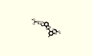 COC(=O)NC[C@@H]1Cc2c(ccc3nc(-c4cc(C)cc5nc(OC)cnc45)sc23)O1